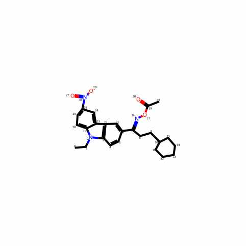 CCn1c2ccc(C(CCC3CCCCC3)=NOC(C)=O)cc2c2cc([N+](=O)[O-])ccc21